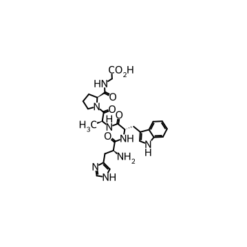 C[C@H](NC(=O)[C@H](Cc1c[nH]c2ccccc12)NC(=O)[C@@H](N)Cc1c[nH]cn1)C(=O)N1CCC[C@H]1C(=O)NCC(=O)O